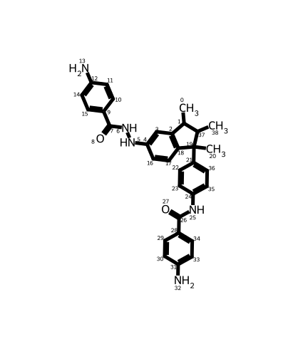 CC1c2cc(NNC(=O)c3ccc(N)cc3)ccc2C(C)(c2ccc(NC(=O)c3ccc(N)cc3)cc2)C1C